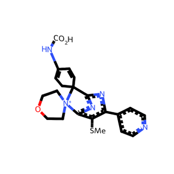 CSc1c(-c2ccncc2)nc2nc1[N+]1(CCOCC1)C21C=CC(NC(=O)O)=CC1